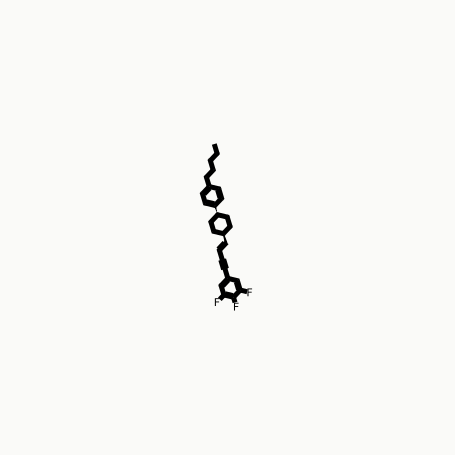 CCCCCc1ccc([C@H]2CC[C@H](C=CC#Cc3cc(F)c(F)c(F)c3)CC2)cc1